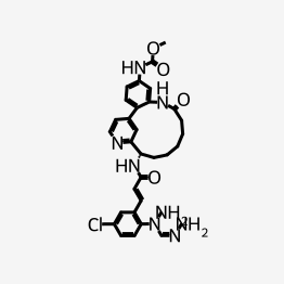 COC(=O)Nc1ccc2c(c1)NC(=O)CCCCC[C@H](NC(=O)/C=C/c1cc(Cl)ccc1N(N)/C=N\N)c1cc-2ccn1